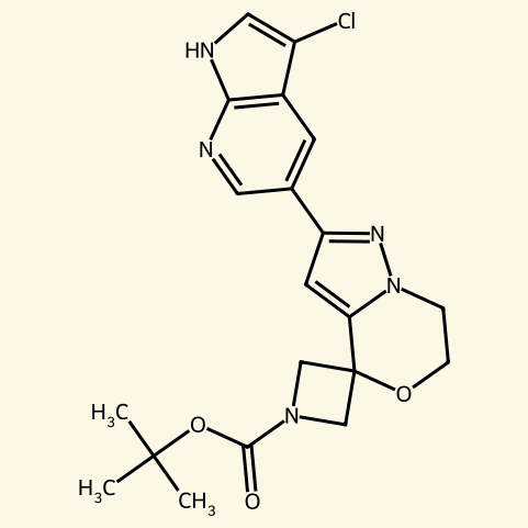 CC(C)(C)OC(=O)N1CC2(C1)OCCn1nc(-c3cnc4[nH]cc(Cl)c4c3)cc12